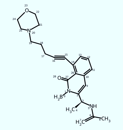 Bn1c([C@H](C)NC(=C)C)cc2cccc(C#CCCCN3CCOCC3)c2c1=O